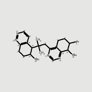 CC(C)C1CCc2c(CC(C)(C)C3c4ccnnc4CCC3C(C)(C)C)ncnc2C1C(C)(C)C